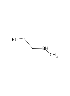 CBCCCC